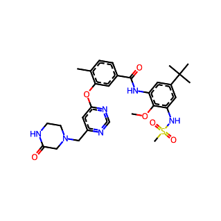 COc1c(NC(=O)c2ccc(C)c(Oc3cc(CN4CCNC(=O)C4)ncn3)c2)cc(C(C)(C)C)cc1NS(C)(=O)=O